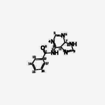 O=C(NC1=NC=NC2NC=NC12)c1ccccc1